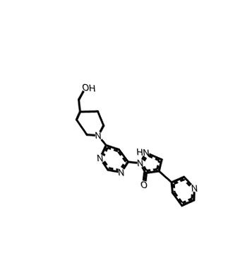 O=c1c(-c2cccnc2)c[nH]n1-c1cc(N2CCC(CO)CC2)ncn1